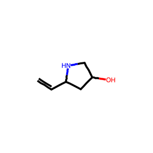 C=CC1CC(O)CN1